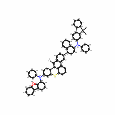 [2H]c1c2c3c(cccc3c3cc(-c4ccc(N(c5ccccc5)c5ccc6c(c5)C(C)(C)c5ccccc5-6)c5ccccc45)ccc13)Sc1cc(N(c3ccccc3)c3cccc4c3oc3ccccc34)ccc1-2